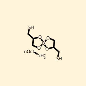 CCCCCCCC[NH3+].SCC1CO[B-]2(OCC(CS)O2)O1